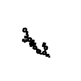 CCOc1cccc(-c2cc(CN3CCN(c4ccc(C(=O)NS(=O)(=O)c5ccc(NCCSc6ccccc6)c([N+](=O)[O-])c5)cc4)CC3)cc(C(F)(F)F)c2)c1